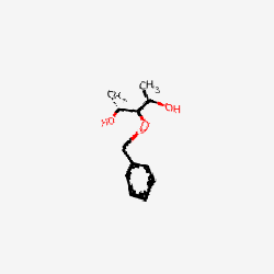 C[C@@H](O)C(OCc1ccccc1)[C@@H](C)O